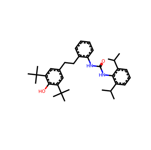 CC(C)c1cccc(C(C)C)c1NC(=O)Nc1ccccc1CCc1cc(C(C)(C)C)c(O)c(C(C)(C)C)c1